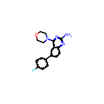 Nc1nc(N2CCOCC2)c2cc(-c3ccc(F)cc3)ccc2n1